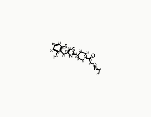 CC=NOCC(=O)N1CCC(c2nc(Cc3c(F)cccc3F)cs2)CC1